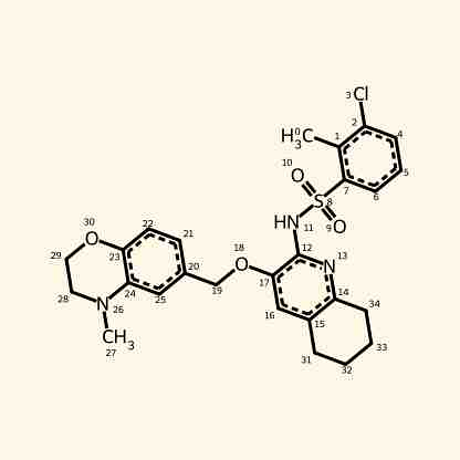 Cc1c(Cl)cccc1S(=O)(=O)Nc1nc2c(cc1OCc1ccc3c(c1)N(C)CCO3)CCCC2